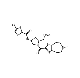 COC[C@@H]1C[C@@H](NC(=O)C2CC=C(Cl)S2)CN1C(=O)c1nc2c(s1)CCN(C)CC2